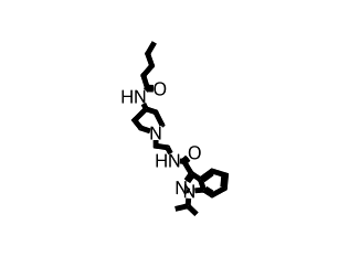 CCCCC(=O)NC1CCN(CCNC(=O)c2nn(C(C)C)c3ccccc23)CC1